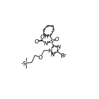 C[Si](C)(C)CCOCn1nc(Br)nc1S(=O)(=NC(=O)O)c1ccccc1